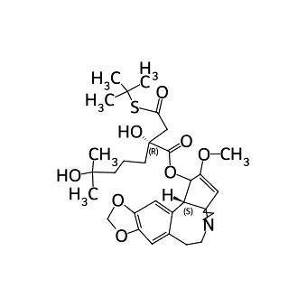 COC1=CC23CCCN2CCc2cc4c(cc2[C@@H]3C1OC(=O)[C@@](O)(CCCC(C)(C)O)CC(=O)SC(C)(C)C)OCO4